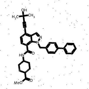 COC(=O)C1CCC(NC(=O)c2ccc(C#CC(C)(C)O)c3cnn(Cc4ccc(-c5ccccc5)cc4)c23)CC1